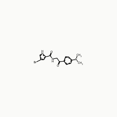 CN(C)c1ccc(C(=O)CNC(=O)c2cc(Br)c[nH]2)cc1